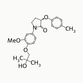 COc1cc(N2CC[C@@H](Oc3ccc(C)cc3)C2=O)ccc1OCC(C)(C)O